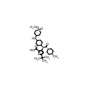 COP1(=O)CCC(NC2CCC(N(c3cc(C(C)(C)C)sc3C(=O)O)C(=O)[C@H]3CC[C@H](C)CC3)CC2)CC1